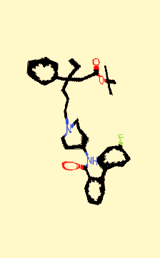 CCC(CCCN1CCC(NC(=O)c2ccccc2-c2ccc(F)cc2)CC1)(CC(=O)OC(C)(C)C)c1ccccc1